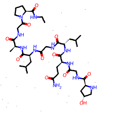 CCNC(=O)[C@@H]1CCCN1C(=O)CNC(=O)[C@H](C)NC(=O)[C@H](CC(C)C)NC(=O)CNC(=O)[C@H](CC(C)C)NC(=O)[C@H](CCC(N)=O)NC(=O)CNC(=O)[C@@H]1C[C@@H](O)CN1